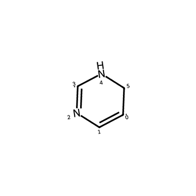 [C]1=CN=[C]NC1